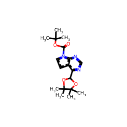 CC(C)(C)OC(=O)n1ccc2c(C3OC(C)(C)C(C)(C)O3)ncnc21